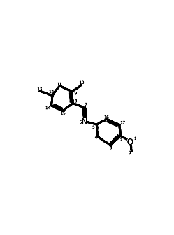 COC1=CCC(/N=C/C2=C(C)CC(C)C=C2)C=C1